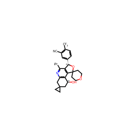 CC(C)c1nc2c(c3c1[C@H](c1ccc(C(F)(F)F)c(C#N)c1)OC31CCOCC1)[C@@H](O)CC1(CC1)C2